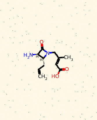 C=CC[C@@H]1[C@@H](N)C(=O)N1CC(C)=CC(=O)O